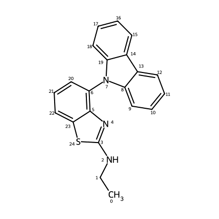 CCNc1nc2c(-n3c4ccccc4c4ccccc43)cccc2s1